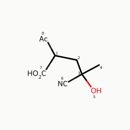 CC(=O)C(CC(C)(O)C#N)C(=O)O